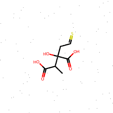 CC(C(=O)O)C(O)(CC=S)C(=O)O